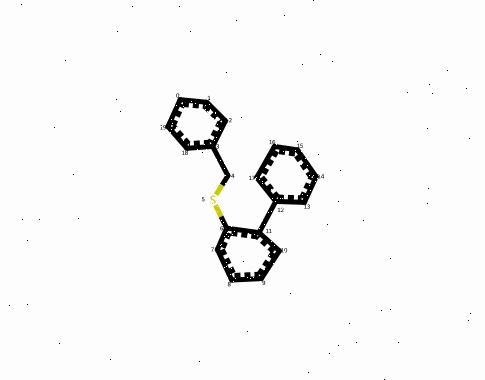 c1ccc(CSc2ccccc2-c2ccccc2)cc1